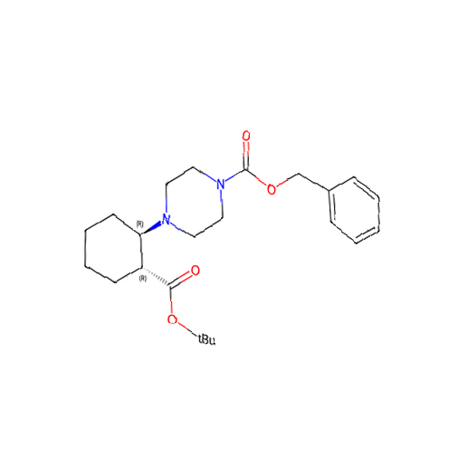 CC(C)(C)OC(=O)[C@@H]1CCCC[C@H]1N1CCN(C(=O)OCc2ccccc2)CC1